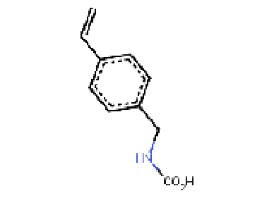 C=Cc1ccc(CNC(=O)O)cc1